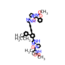 COC(=O)N[C@H](C(=O)N1CCC[C@H]1c1ncc(-c2ccc(C#CC#Cc3cnc([C@@H]4CCCN4C(=O)[C@H](NC(=O)OC)c4ccccc4)[nH]3)c(-c3cccc(C(C)(C)C)c3)c2)[nH]1)C(C)C